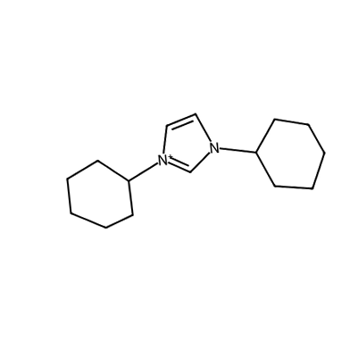 c1c[n+](C2CCCCC2)cn1C1CCCCC1